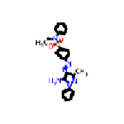 CCN(c1ccccc1)S(=O)(=O)c1ccc(/N=N/c2c(C)nn(-c3ccccc3)c2N)cc1